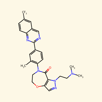 Cc1cc(-c2ncc3cc(C(F)(F)F)ccc3n2)ccc1N1CCOc2cnn(CCN(C)C)c2C1=O